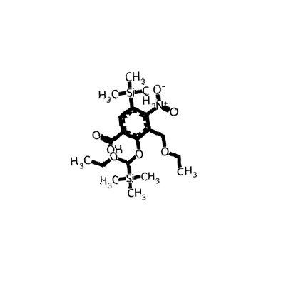 CCOCc1c(OC(OCC)[Si](C)(C)C)c(C(=O)O)cc([Si](C)(C)C)c1[N+](=O)[O-]